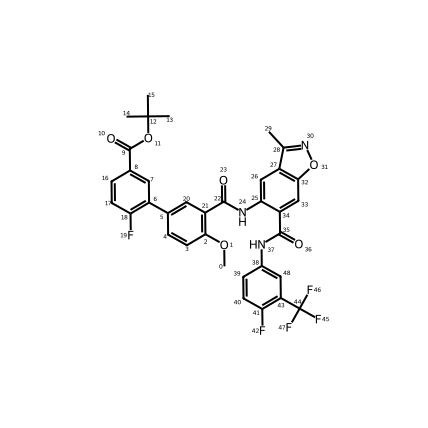 COc1ccc(-c2cc(C(=O)OC(C)(C)C)ccc2F)cc1C(=O)Nc1cc2c(C)noc2cc1C(=O)Nc1ccc(F)c(C(F)(F)F)c1